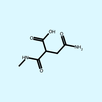 CNC(=O)C(CC(N)=O)C(=O)O